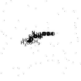 CC(O)C(=O)N1C[C@@H](F)[C@@H](Oc2ccc(-c3ncnc(Nc4ccc(N5CCN(C6COC6)CC5)cc4)n3)cc2C#N)C[C@@H]1C